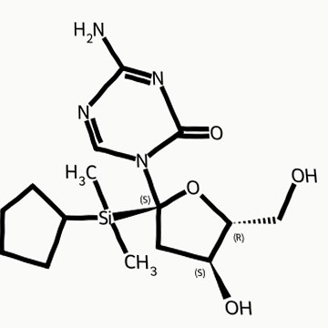 C[Si](C)(C1CCCC1)[C@]1(n2cnc(N)nc2=O)C[C@H](O)[C@@H](CO)O1